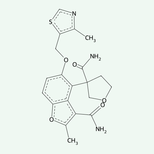 Cc1ncsc1COc1ccc2oc(C)c(C(N)=O)c2c1C1(C(N)=O)CCOC1